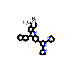 C/C=C\c1c(CC)ccc2c(-c3ccc4ccccc4c3)c3ccc(-c4cc(-c5ccccn5)nc(-c5ccccn5)c4)cc3nc12